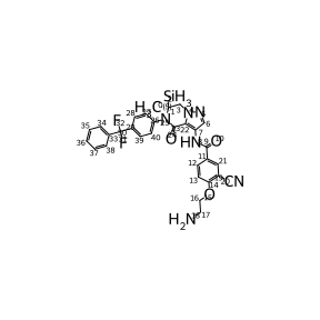 C[C@]1([SiH3])Cn2ncc(NC(=O)c3ccc(OCCN)c(C#N)c3)c2C(=O)N1c1ccc(C(F)(F)c2ccccc2)cc1